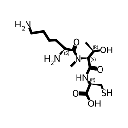 C[C@@H](O)[C@@H](C(=O)N[C@@H](CS)C(=O)O)N(C)C(=O)[C@@H](N)CCCCN